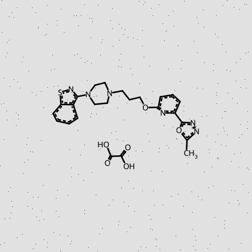 Cc1nnc(-c2cccc(OCCCN3CCN(c4nsc5ccccc45)CC3)n2)o1.O=C(O)C(=O)O